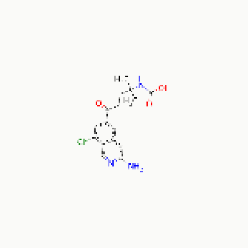 CC(C)(CCC(=O)c1cc(Cl)c2cnc(N)cc2c1)NC(=O)O